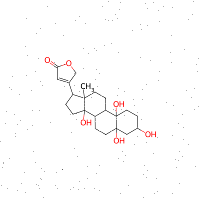 CC12CCC3C(CCC4(O)CC(O)CCC34O)C1(O)CCC2C1=CC(=O)OC1